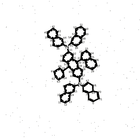 C1=CC2=CC(N(c3ccc4ccccc4c3)c3ccc4c(-c5cccc6ccccc56)c5cc(N(c6ccc7ccccc7c6)c6ccc7ccccc7c6)ccc5c(-c5ccccc5)c4c3)=CCC2C=C1